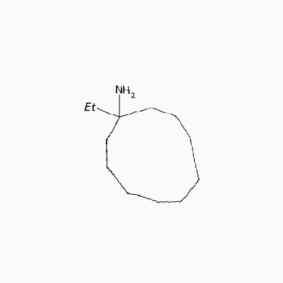 CCC1(N)CCCCCCCCC1